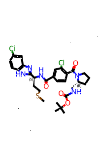 CSCC[C@H](NC(=O)c1ccc(C(=O)N2CCC[C@@H]2CNC(=O)OC(C)(C)C)c(Cl)c1)c1nc2cc(Cl)ccc2[nH]1